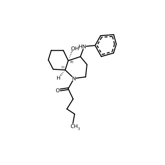 CCCCC(=O)N1CCC(Nc2ccccc2)[C@]2(O)CCCC[C@H]12